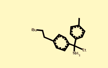 CCC(C)CCc1ccc(C(N)(CC)c2ccc(C)cc2)cc1